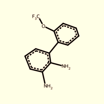 Nc1cccc(-c2ccccc2OC(F)(F)F)c1N